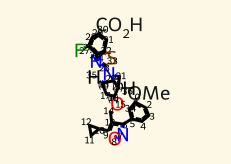 COc1cccc(-c2noc(C3CC3)c2CO[C@@H]2C[C@@H]3C[C@H]2CN3c2nc3c(F)cc(C(=O)O)cc3s2)c1